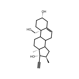 C#C[C@]1(O)[C@H](C)CC2C3CC=C4C[C@@H](O)CC[C@]4(CO)C3CC[C@@]21C